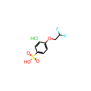 Cl.O=S(=O)(O)c1ccc(OCC(F)F)cc1